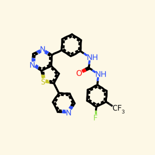 O=C(Nc1cccc(-c2ncnc3sc(-c4ccncc4)cc23)c1)Nc1ccc(F)c(C(F)(F)F)c1